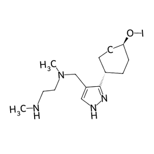 CNCCN(C)Cc1c[nH]nc1[C@H]1CC[C@H](OI)CC1